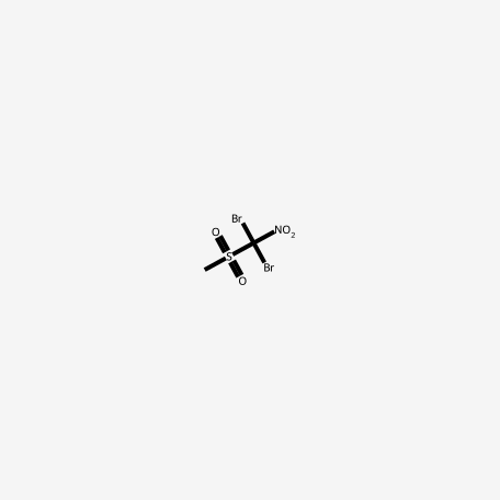 CS(=O)(=O)C(Br)(Br)[N+](=O)[O-]